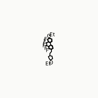 CCOc1ccc2c(c1F)C(F)(F)C(F)(F)c1c-2ccc(CCC2CCC(OCC)CC2)c1F